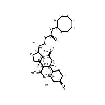 C[C@H](CCC(=O)OC1CCCCCCC1)C1CC[C@H]2[C@@H]3C(=O)C[C@@H]4CC(=O)CC[C@]4(C)[C@H]3CC(=O)[C@]12C